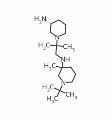 CC1(NCC(C)(C)N2CCC[C@@H](N)C2)CCCN(C(C)(C)C)C1